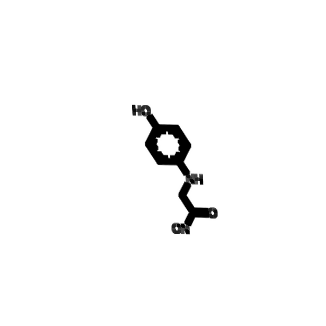 O=NC(=O)CNc1ccc(O)cc1